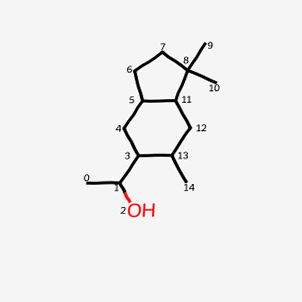 CC(O)C1CC2CCC(C)(C)C2CC1C